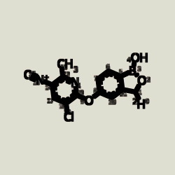 [2H]C1OB(O)c2ccc(Oc3nc(C)c([N+]#[C-])cc3Cl)cc21